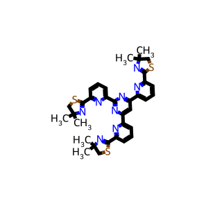 CC1(C)CSC(c2cccc(-c3cc(-c4cccc(C5=NC(C)(C)CS5)n4)nc(-c4cccc(C5=NC(C)(C)CS5)n4)n3)n2)=N1